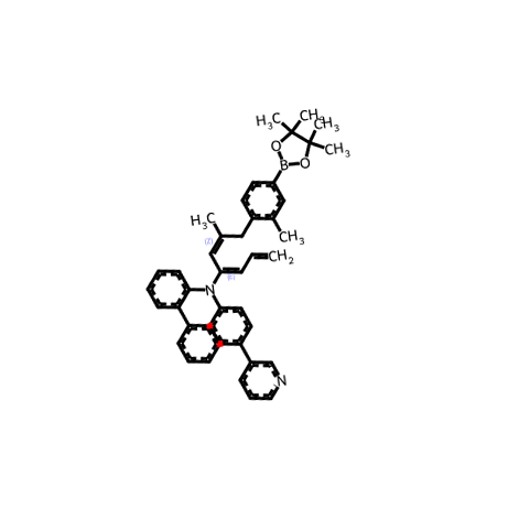 C=C/C=C(\C=C(\C)Cc1ccc(B2OC(C)(C)C(C)(C)O2)cc1C)N(c1ccc(-c2cccnc2)cc1)c1ccccc1-c1ccccc1